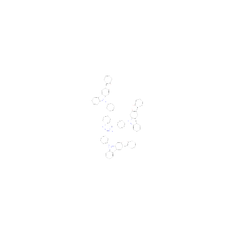 c1cc(-c2ccc3nc(-c4cccc(-n5c6ccccc6c6cc7c(cc65)oc5ccccc57)c4)nc(-c4ccc(-n5c6ccccc6c6cc7c(cc65)oc5ccccc57)cc4)c3c2)cc(-n2c3ccccc3c3cc4c(cc32)oc2ccccc24)c1